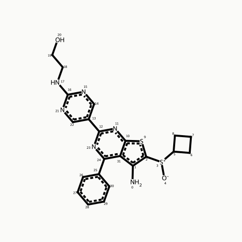 Nc1c([S+]([O-])C2CCC2)sc2nc(-c3cnc(NCCO)nc3)nc(-c3ccccc3)c12